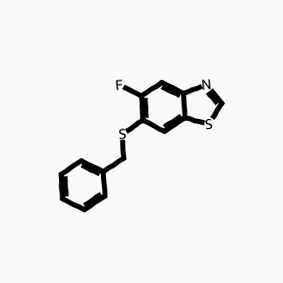 Fc1cc2ncsc2cc1SCc1ccccc1